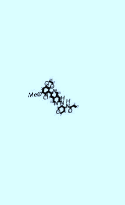 C=CC(=O)N[C@H]1CCOC[C@H]1Nc1cc2cnc(-c3c(Cl)c(OC)cc4c3OCCO4)cc2cn1